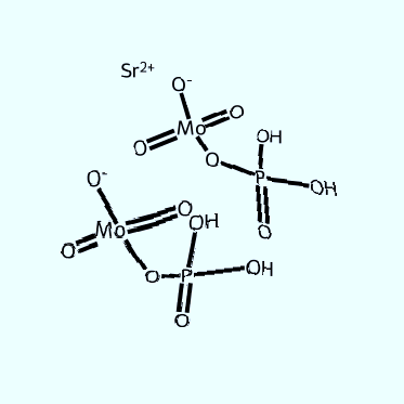 O=P(O)(O)[O][Mo](=[O])(=[O])[O-].O=P(O)(O)[O][Mo](=[O])(=[O])[O-].[Sr+2]